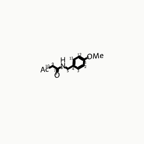 COc1ccc(CNC(=O)CC(C)=O)cc1